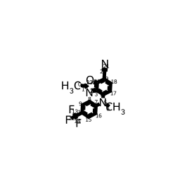 Cc1nc2c(N(C)c3ccc(C(F)(F)F)cc3)ccc(C#N)c2o1